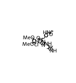 C=CC(=O)Nc1ccc(CCn2c(=O)c(-c3cc(OC)cc(OC)c3Cl)cc3cnc(NCCN4C(C)CNCC4C)nc32)cc1